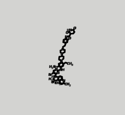 CCc1cc(Nc2ncc(Br)c(Nc3ccc4nc(C)ccc4c3P(C)(C)=O)n2)c(OC)cc1N1CCC(N2CCN(CCc3ccc4nc(C5CCC(=O)NC5=O)oc4c3)CC2)CC1